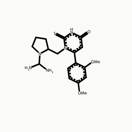 COc1ccc(-c2cc(=O)[nH]c(=S)n2CC2CCCN2C(N)N)c(OC)c1